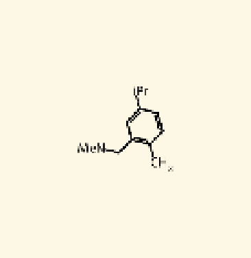 CNCc1cc(C(C)C)ccc1C